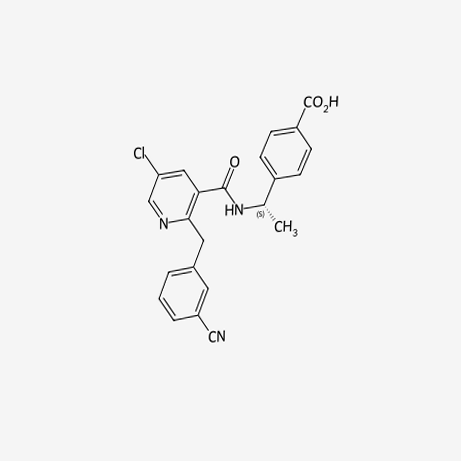 C[C@H](NC(=O)c1cc(Cl)cnc1Cc1cccc(C#N)c1)c1ccc(C(=O)O)cc1